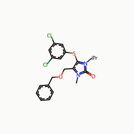 CC(C)n1c(Sc2cc(Cl)cc(Cl)c2)c(COCc2ccccc2)n(C)c1=O